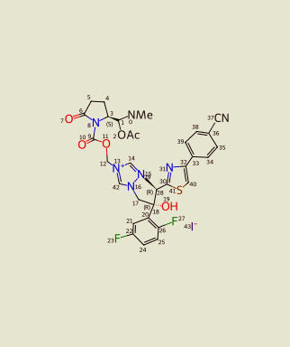 CNC(OC(C)=O)[C@@H]1CCC(=O)N1C(=O)OC[n+]1cnn(C[C@](O)(c2cc(F)ccc2F)[C@@H](C)c2nc(-c3ccc(C#N)cc3)cs2)c1.[I-]